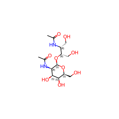 CC(=O)N[C@H]1[C@@H](O[C@@H](CO)[C@@H](CO)NC(C)=O)O[C@@H](CO)[C@@H](O)[C@H]1O